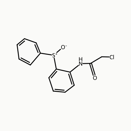 O=C(CCl)Nc1ccccc1[S+]([O-])c1ccccc1